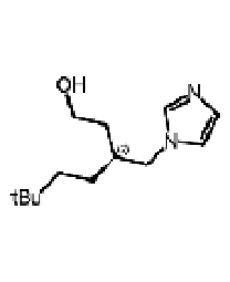 CC(C)(C)CC[C@@H](CCO)Cn1ccnc1